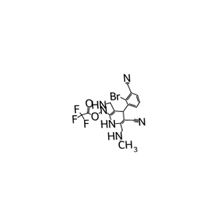 CNCC1=C(C#N)C(c2cccc(C#N)c2Br)C2=C(N1)N(OC(=O)C(F)(F)F)NC2